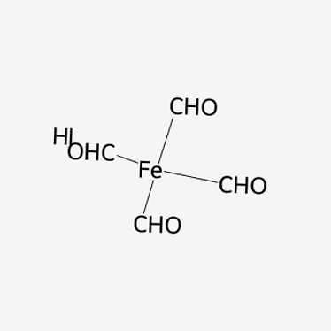 I.O=[CH][Fe]([CH]=O)([CH]=O)[CH]=O